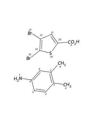 Cc1ccc(N)cc1C.O=C(O)c1cc(Br)c(Br)s1